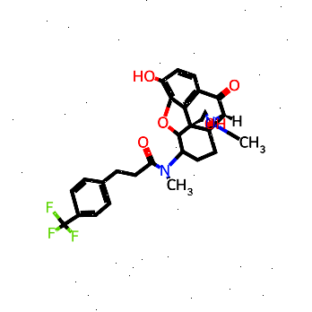 CN(C(=O)CCc1ccc(C(F)(F)F)cc1)C1CC[C@@]2(O)[C@H]3C(=O)c4ccc(O)c5c4[C@@]2(CCN3C)C1O5